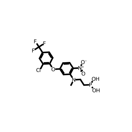 CN(CCP(O)O)c1cc(Oc2ccc(C(F)(F)F)cc2Cl)ccc1[N+](=O)[O-]